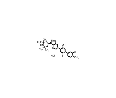 Cl.Cn1ccc(-c2cc(O)c(-c3cc4nnn(C5CC(C)(C)NC(C)(C)C5)c4nn3)cc2F)cc1=O